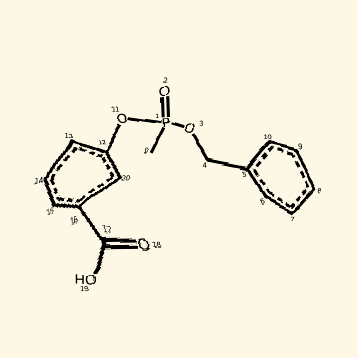 CP(=O)(OCc1ccccc1)Oc1cccc(C(=O)O)c1